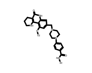 CCNC(=O)c1ccc(N2CCN(Cc3cc(OCC)c4c5c(c(=O)[nH]c4c3)CCCN5)CC2)cc1